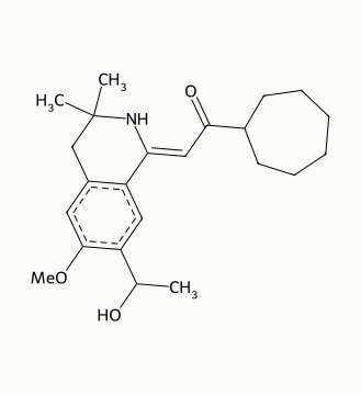 COc1cc2c(cc1C(C)O)/C(=C/C(=O)C1CCCCCC1)NC(C)(C)C2